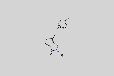 C#CN1CC2=C(CCc3ccc(C)cc3)CCC=C2C1=C